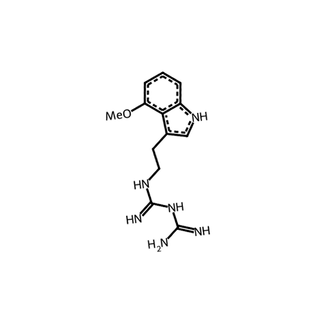 COc1cccc2[nH]cc(CCNC(=N)NC(=N)N)c12